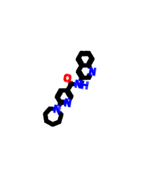 O=C(Nc1cnc2ccccc2c1)c1ccc(N2CCCCCC2)nc1